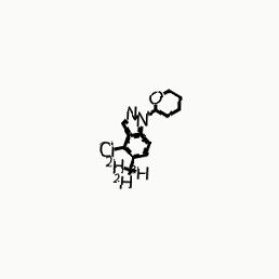 [2H]C([2H])([2H])c1ccc2c(cnn2C2CCCCO2)c1Cl